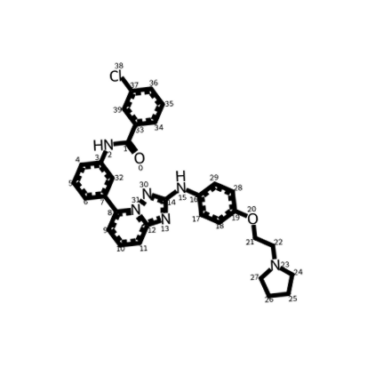 O=C(Nc1cccc(-c2cccc3nc(Nc4ccc(OCCN5CCCC5)cc4)nn23)c1)c1cccc(Cl)c1